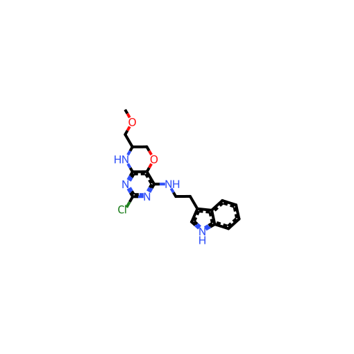 COCC1COc2c(NCCc3c[nH]c4ccccc34)nc(Cl)nc2N1